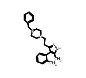 Cc1ccccc1-c1c(CCN2CCN(Cc3ccccc3)CC2)n[nH]c1C